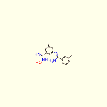 Cc1cc(/N=C(\N)c2cccc(C)c2)cc(C(=N)NO)c1